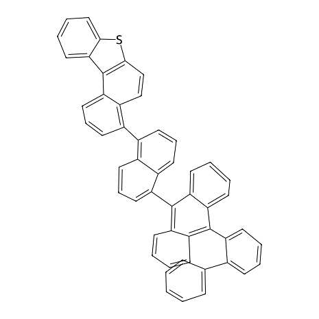 c1ccc(-c2ccccc2-c2c3ccccc3c(-c3cccc4c(-c5cccc6c5ccc5sc7ccccc7c56)cccc34)c3ccccc23)cc1